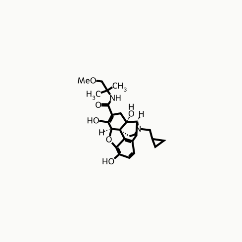 COCC(C)(C)NC(=O)C1=C(O)[C@@H]2Oc3c(O)ccc4c3[C@@]23CCN(CC2CC2)[C@H](C4)[C@]3(O)C1